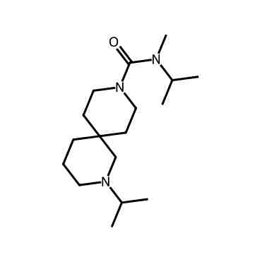 CC(C)N1CCCC2(CCN(C(=O)N(C)C(C)C)CC2)C1